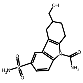 NC(=O)n1c2c(c3cc(S(N)(=O)=O)ccc31)C[C](CO)CC2